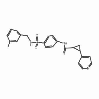 Cc1cccc(CNS(=O)(=O)c2ccc(NC(=O)C3CC3c3ccncc3)cc2)c1